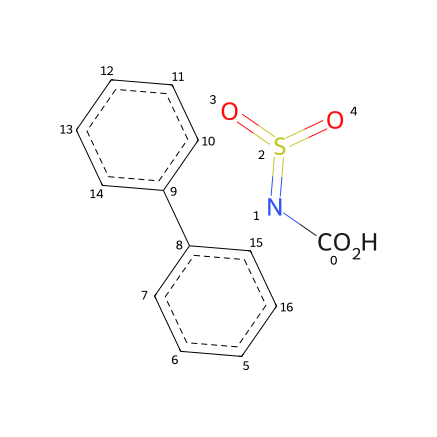 O=C(O)N=S(=O)=O.c1ccc(-c2ccccc2)cc1